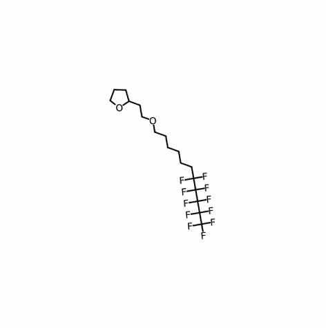 FC(F)(F)C(F)(F)C(F)(F)C(F)(F)C(F)(F)CCCCCCOCCC1CCCO1